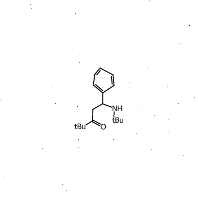 CC(C)(C)NC(CC(=O)C(C)(C)C)c1ccccc1